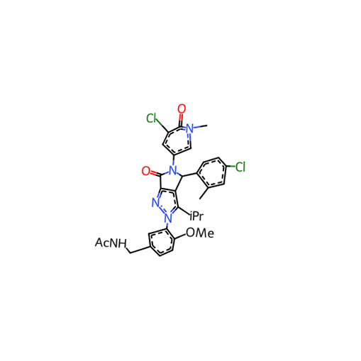 COc1ccc(CNC(C)=O)cc1-n1nc2c(c1C(C)C)C(c1ccc(Cl)cc1C)N(c1cc(Cl)c(=O)n(C)c1)C2=O